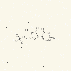 O=c1[nH]cc([C@@H]2O[C@H](COP(=S)(Cl)Cl)C(O)C2O)c(=O)[nH]1